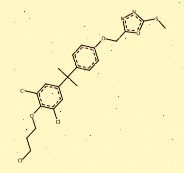 CSc1nnc(COc2ccc(C(C)(C)c3cc(Cl)c(OCCCCl)c(Cl)c3)cc2)o1